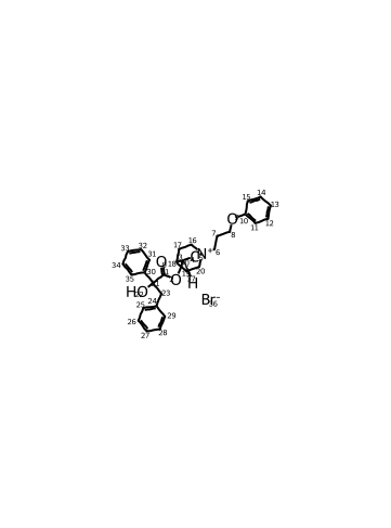 O=C(O[C@H]1C[N+]2(CCCOc3ccccc3)CCC1CC2)C(O)(Cc1ccccc1)c1ccccc1.[Br-]